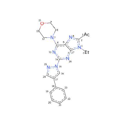 CCn1c(C(C)=O)nc2c(N3CCOCC3)nc(-n3cc(-c4ccccc4)cn3)nc21